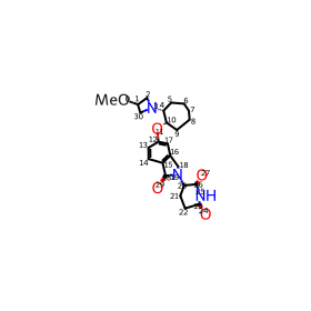 COC1CN([C@@H]2CCCCC[C@@H]2Oc2ccc3c(c2)CN(C2CCC(=O)NC2=O)C3=O)C1